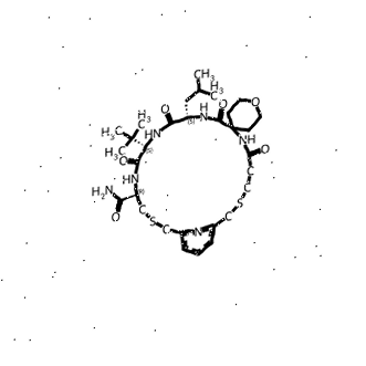 CC(C)C[C@@H]1NC(=O)C2(CCOCC2)NC(=O)CCSCc2cccc(n2)CSC[C@@H](C(N)=O)NC(=O)[C@H](C(C)(C)C)NC1=O